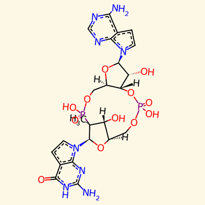 C[C@@]12[C@H](O)[C@@H](COP(=O)(O)O[C@H]3[C@@H](O)[C@H](n4ccc5c(N)ncnc54)O[C@@H]3COP1(=O)O)O[C@H]2n1ccc2c(=O)[nH]c(N)nc21